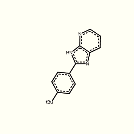 CC(C)(C)c1ccc(-c2nc3cccnc3[nH]2)cc1